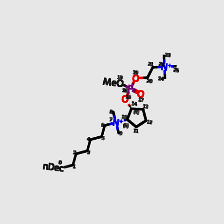 CCCCCCCCCCCCCCCC[N+](C)(C)[C@H]1CCC[C@H]1OP(=O)(OC)OCC[N+](C)(C)C